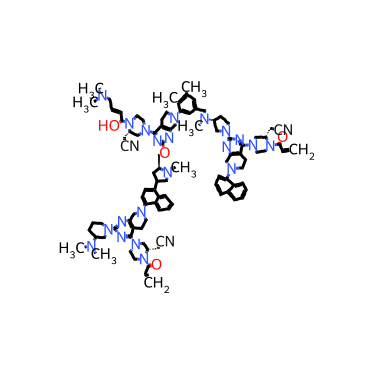 C=CC(=O)N1CCN(c2nc(N3CCCC(N(C)C)C3)nc3c2CCN(c2ccc(C4C[C@@H](COc5nc6c(c(N7CCN(C(O)/C=C/CN(C)C)[C@@H](CC#N)C7)n5)CCN(c5cc(CN(C)[C@H]7CCN(c8nc9c(c(N%10CCN(C(=O)C=C)[C@@H](CC#N)C%10)n8)CCN(c8cccc%10ccccc8%10)C9)C7)cc(C)c5C)C6)N(C)C4)c4ccccc24)C3)C[C@@H]1CC#N